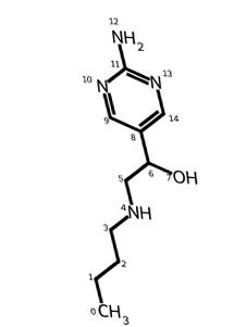 CCCCNCC(O)c1cnc(N)nc1